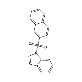 O=S(=O)(c1ccc2ccccc2c1)n1ccc2ccccc21